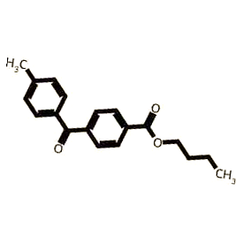 CCCCOC(=O)c1ccc(C(=O)c2ccc(C)cc2)cc1